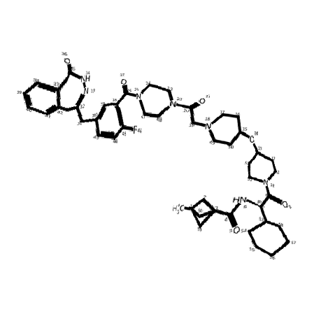 CC12CC(C(=O)N[C@@H](C(=O)N3CCC(OC4CCN(CC(=O)N5CCN(C(=O)c6cc(Cc7n[nH]c(=O)c8ccccc78)ccc6F)CC5)CC4)CC3)C3CCCCC3)(C1)C2